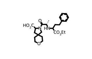 CCOC(=O)C(CCc1ccccc1)N[C@@H](C)C(=O)N1CC2(CCOCC2)CC1C(=O)O